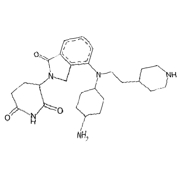 NC1CCC(N(CCC2CCNCC2)c2cccc3c2CN(C2CCC(=O)NC2=O)C3=O)CC1